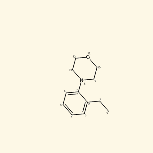 C[CH]c1ccccc1N1CCOCC1